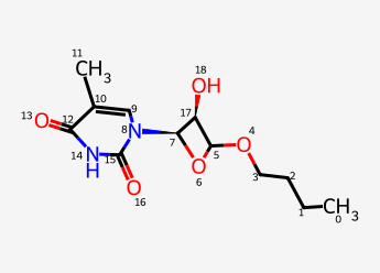 CCCCOC1O[C@@H](n2cc(C)c(=O)[nH]c2=O)[C@H]1O